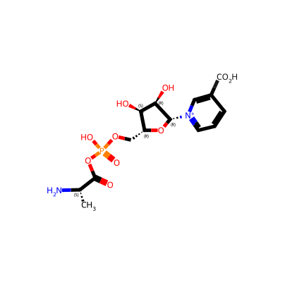 C[C@H](N)C(=O)OP(=O)(O)OC[C@H]1O[C@@H]([n+]2cccc(C(=O)O)c2)[C@H](O)[C@@H]1O